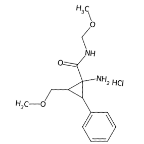 COCNC(=O)C1(N)C(COC)C1c1ccccc1.Cl